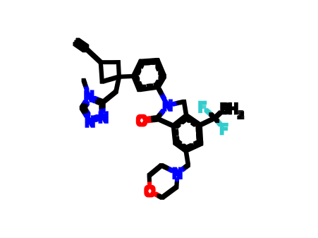 BC(F)(F)c1cc(CN2CCOCC2)cc2c1CN(c1cccc(C3(Cc4nncn4C)CC(C#C)C3)c1)C2=O